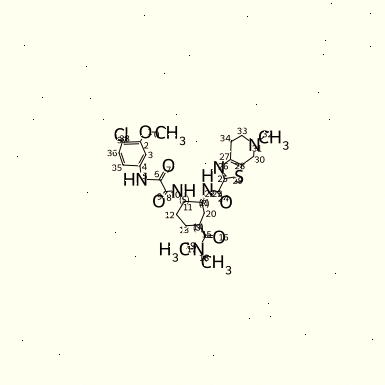 COc1cc(NC(=O)C(=O)N[C@H]2CC[C@H](C(=O)N(C)C)C[C@H]2NC(=O)c2nc3c(s2)CN(C)CC3)ccc1Cl